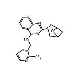 FC(F)(F)c1ncccc1CNc1nc(N2CC3CC(C2)O3)nc2ncccc12